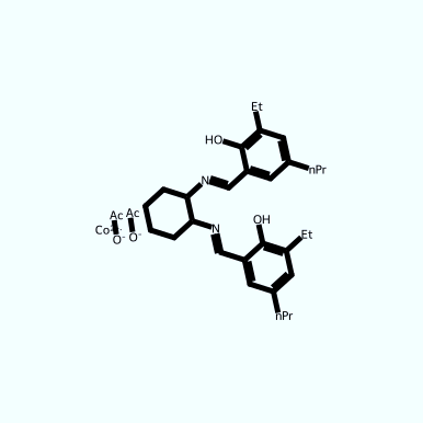 CC(=O)[O-].CC(=O)[O-].CCCc1cc(C=NC2CCCCC2N=Cc2cc(CCC)cc(CC)c2O)c(O)c(CC)c1.[Co+2]